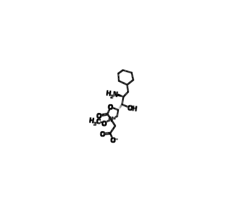 CO[N+]1(CC(=O)[O-])C[C@@H](C(O)[C@@H](N)CC2CCCCC2)OC1=O